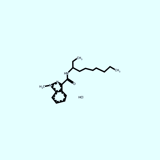 CCCCCCCC(CC)NC(=O)c1nn(C)c2ccccc12.Cl